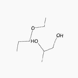 CC(O)CO.CCCOCC